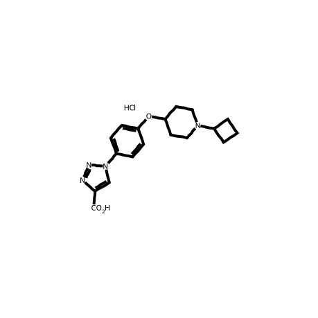 Cl.O=C(O)c1cn(-c2ccc(OC3CCN(C4CCC4)CC3)cc2)nn1